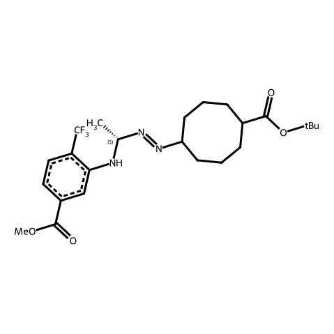 COC(=O)c1ccc(C(F)(F)F)c(N[C@H](C)N=NC2CCCC(C(=O)OC(C)(C)C)CCC2)c1